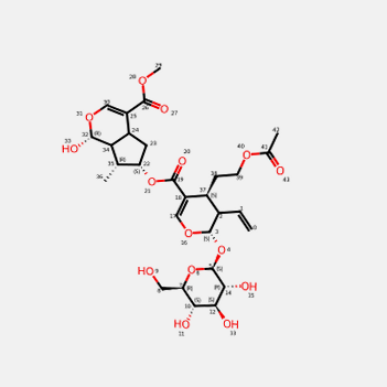 C=CC1[C@H](O[C@@H]2O[C@H](CO)[C@@H](O)[C@H](O)[C@H]2O)OC=C(C(=O)O[C@H]2CC3C(C(=O)OC)=CO[C@@H](O)C3[C@H]2C)[C@H]1CCOC(C)=O